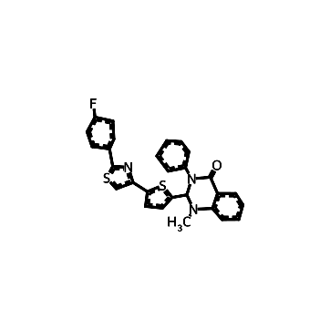 CN1c2ccccc2C(=O)N(c2ccccc2)C1c1ccc(-c2csc(-c3ccc(F)cc3)n2)s1